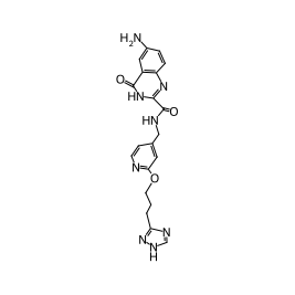 Nc1ccc2nc(C(=O)NCc3ccnc(OCCCc4nc[nH]n4)c3)[nH]c(=O)c2c1